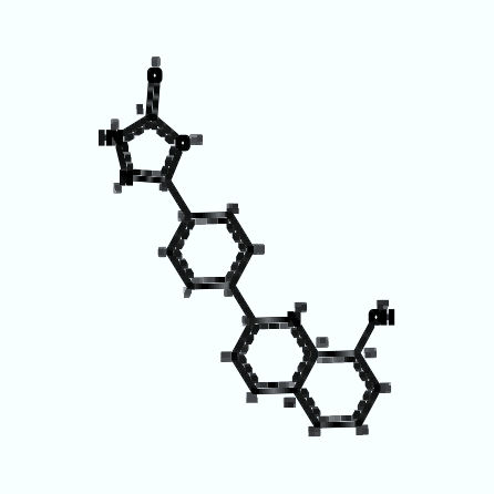 O=c1[nH]nc(-c2ccc(-c3ccc4cccc(O)c4n3)cc2)o1